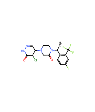 CC(c1ccc(F)cc1C(F)(F)F)N1CCN(C2C=NNC(=O)C2Cl)CC1=O